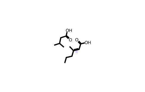 CC(C)CC(=O)O.CCC/C(C)=C/C(=O)O